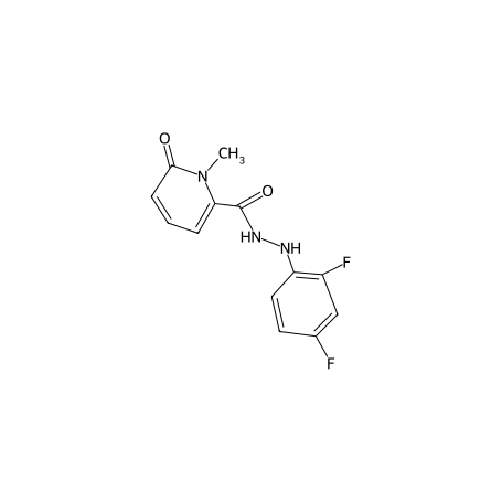 Cn1c(C(=O)NNc2ccc(F)cc2F)cccc1=O